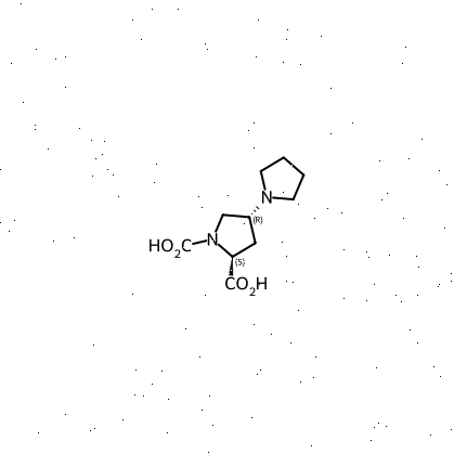 O=C(O)[C@@H]1C[C@@H](N2CCCC2)CN1C(=O)O